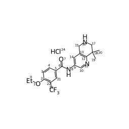 CCOc1ccc(C(=O)Nc2cnc3c(c2)CNCC3(C)C)cc1C(F)(F)F.Cl